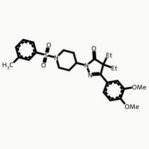 CCC1(CC)C(=O)N(C2CCN(S(=O)(=O)c3cccc(C)c3)CC2)N=C1c1ccc(OC)c(OC)c1